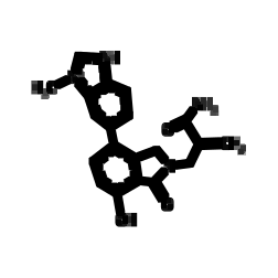 C=C(CN1Cc2c(-c3ccc4[nH]c[n+](C)c4c3)ccc(O)c2C1=O)C(N)=O